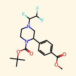 COC(=O)c1ccc(C2CN(C(F)C(F)F)CCN2C(=O)OC(C)(C)C)cc1